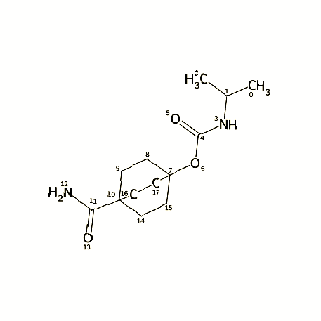 CC(C)NC(=O)OC12CCC(C(N)=O)(CC1)CC2